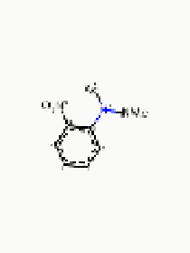 CNN(C(C)=O)c1ccccc1[N+](=O)[O-]